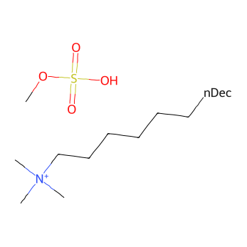 CCCCCCCCCCCCCCCC[N+](C)(C)C.COS(=O)(=O)O